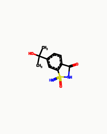 CC(C)(O)c1ccc2c(c1)S(=N)(=O)NC2=O